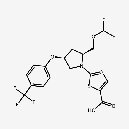 O=C(O)c1cnc(N2C[C@@H](Oc3ccc(C(F)(F)F)cc3)C[C@H]2COC(F)F)s1